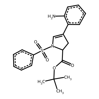 CC(C)(C)OC(=O)C1CC(c2ccccc2N)=CN1S(=O)(=O)c1ccccc1